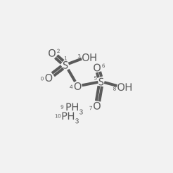 O=S(=O)(O)OS(=O)(=O)O.P.P